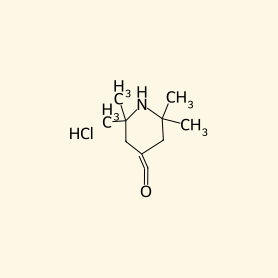 CC1(C)CC(=C=O)CC(C)(C)N1.Cl